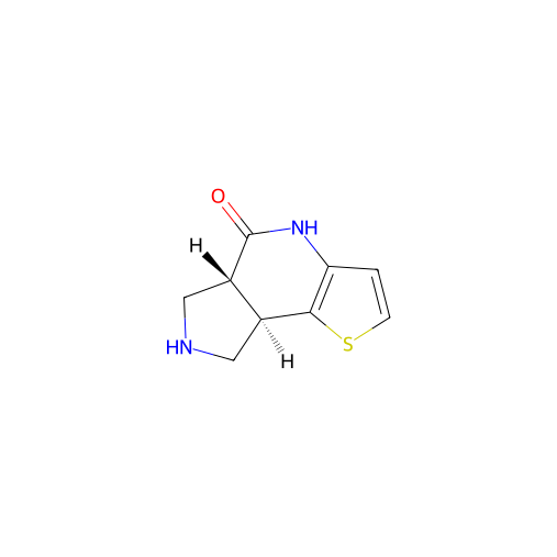 O=C1Nc2ccsc2[C@H]2CNC[C@H]12